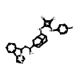 O=c1c(Nc2ccc(F)cc2)c(NC2C3CC4CC2CC(C(O)CC2c5ccccc5-c5cncn52)(C4)C3)c1=O